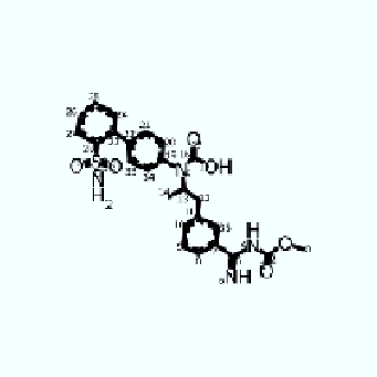 COC(=O)NC(=N)c1cccc(CC(C)N(C(=O)O)c2ccc(-c3ccccc3S(N)(=O)=O)cc2)c1